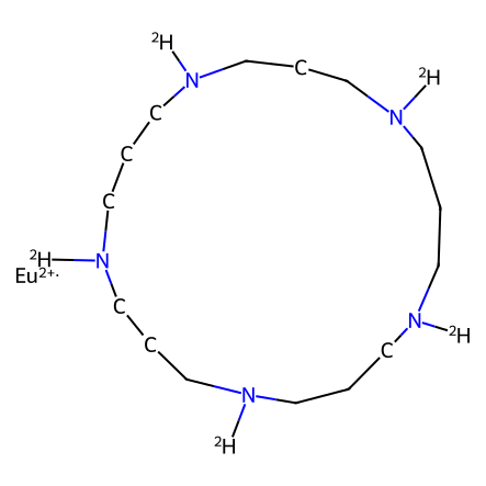 [2H]N1CCCN([2H])CCCN([2H])CCCN([2H])CCCN([2H])CCC1.[Eu+2]